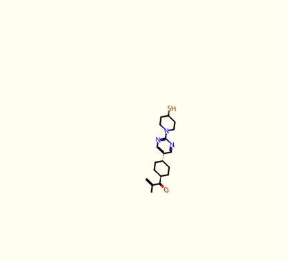 C=C(C)C(=O)[C@H]1CC[C@H](c2cnc(N3CCC(S)CC3)nc2)CC1